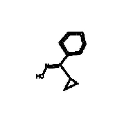 O/N=C(/c1ccccc1)C1CC1